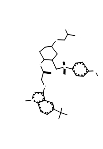 CSc1ccc(S(=O)(=O)CC2CC(NCC(C)C)CCC2NC(=O)CNc2nn(C)c3ccc(C(F)(F)F)cc23)cc1